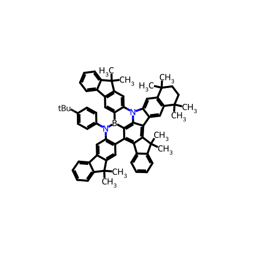 CC(C)(C)c1ccc(N2B3c4cc5c(cc4-n4c6cc7c(cc6c6c8c(c(c3c64)-c3cc4c(cc32)-c2ccccc2C4(C)C)-c2ccccc2C8(C)C)C(C)(C)CCC7(C)C)C(C)(C)c2ccccc2-5)cc1